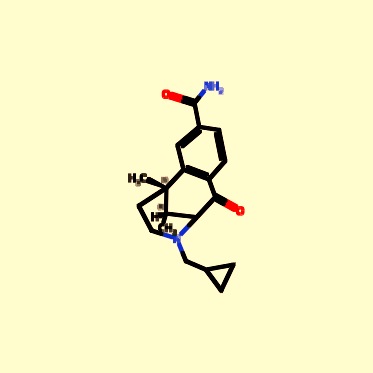 C[C@H]1C2C(=O)c3ccc(C(N)=O)cc3[C@@]1(C)CCN2CC1CC1